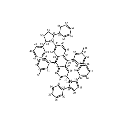 Cc1cccc(-c2c3ccc(-n4c(-c5ccccc5)ccc4-c4ccccc4)cc3c(-c3cccc(C)c3)c3ccc(N4C(c5ccccc5)CCC4C4C=CC=CC4)cc23)c1